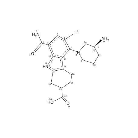 NC(=O)c1cc(F)c(N2CCC[C@H](N)C2)c2c3c([nH]c12)CC(C(=O)O)CC3